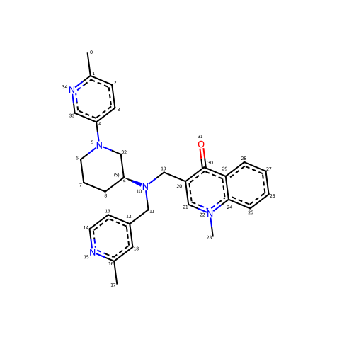 Cc1ccc(N2CCC[C@H](N(Cc3ccnc(C)c3)Cc3cn(C)c4ccccc4c3=O)C2)cn1